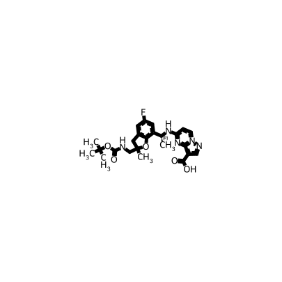 C[C@@H](Nc1ccn2ncc(C(=O)O)c2n1)c1cc(F)cc2c1OC(C)(CNC(=O)OC(C)(C)C)C2